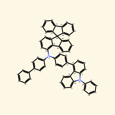 c1ccc(-c2ccc(N(c3ccc(-c4cccc5c4c4ccccc4n5-c4ccccc4)cc3)c3cccc4c3-c3ccccc3C43c4ccccc4-c4ccccc43)cc2)cc1